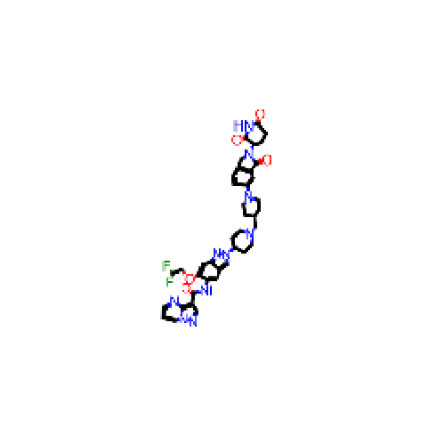 O=C1CCC(N2Cc3ccc(N4CCC(CN5CCC(n6cc7cc(NC(=O)c8cnn9cccnc89)c(OCC(F)F)cc7n6)CC5)CC4)cc3C2=O)C(=O)N1